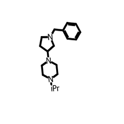 CC(C)N1CCN(C2CCN(Cc3ccccc3)C2)CC1